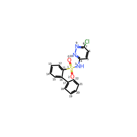 O=S(=O)(Nc1ccc(Cl)nn1)c1ccccc1-c1ccccc1